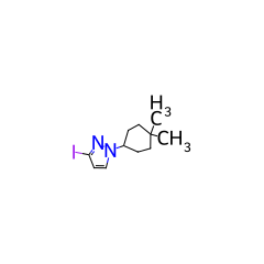 CC1(C)CCC(n2ccc(I)n2)CC1